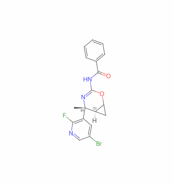 C[C@@]1(c2cc(Br)cnc2F)N=C(NC(=O)c2ccccc2)OC2C[C@H]21